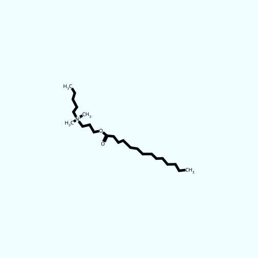 CCCCCCCCCCCCCC(=O)OCCC[N+](C)(C)CCCCC